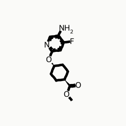 COC(=O)[C@H]1CC[C@H](Oc2cc(F)c(N)cn2)CC1